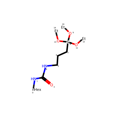 CCCCCCNC(=O)NCCC[Si](OCC)(OCC)OCC